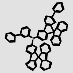 C1=CC2=C3C=CC=CC3C3(c4ccccc4-c4ccc(N(c5cccc(-c6ccccc6)c5)c5ccc6c(c5)-c5ccc(-c7ccccc7)cc5C65c6ccccc6-c6ccccc65)cc43)C2C=C1